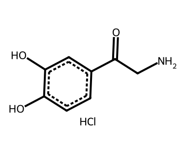 Cl.NCC(=O)c1ccc(O)c(O)c1